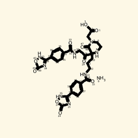 N.O=C(O)CN1CCNC(CCCNC(=O)c2ccc(-c3nc(=O)o[nH]3)cc2)(C(=O)CNC(=O)c2ccc(-c3nc(=O)o[nH]3)cc2)C1=O